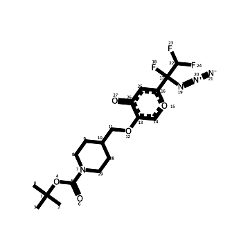 CC(C)(C)OC(=O)N1CCC(COc2coc(C(F)(N=[N+]=[N-])C(F)F)cc2=O)CC1